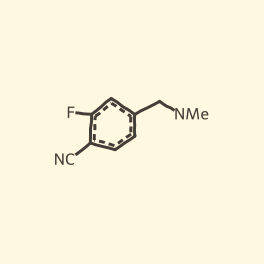 CNCc1ccc(C#N)c(F)c1